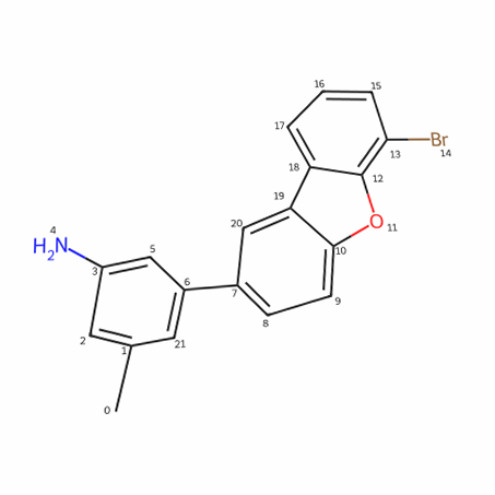 Cc1cc(N)cc(-c2ccc3oc4c(Br)cccc4c3c2)c1